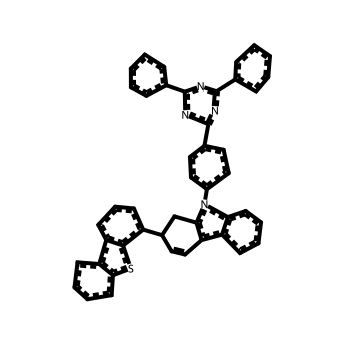 C1=CC(c2cccc3c2sc2ccccc23)Cc2c1c1ccccc1n2-c1ccc(-c2nc(-c3ccccc3)nc(-c3ccccc3)n2)cc1